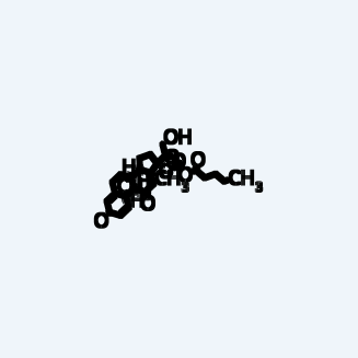 CCCCC(=O)OC(=O)O[C@]1(C(=O)CO)CC[C@H]2[C@@H]3CCC4=CC(=O)C=C[C@]4(C)[C@H]3C(=O)C[C@@]21C